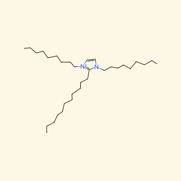 CCCCCCCCCCCc1n(CCCCCCCCC)cc[n+]1CCCCCCCCC